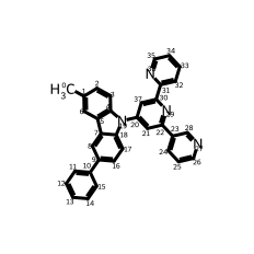 Cc1ccc2c(c1)c1cc(-c3ccccc3)ccc1n2-c1cc(-c2cccnc2)nc(-c2ccccn2)c1